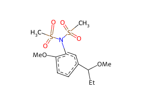 CCC(OC)c1ccc(OC)c(N(S(C)(=O)=O)S(C)(=O)=O)c1